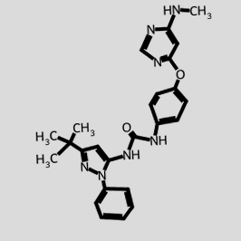 CNc1cc(Oc2ccc(NC(=O)Nc3cc(C(C)(C)C)nn3-c3ccccc3)cc2)ncn1